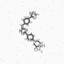 CC1CN(c2ccc(-c3nnn(Cc4ccc(-c5nnco5)cc4)n3)cn2)CCN1